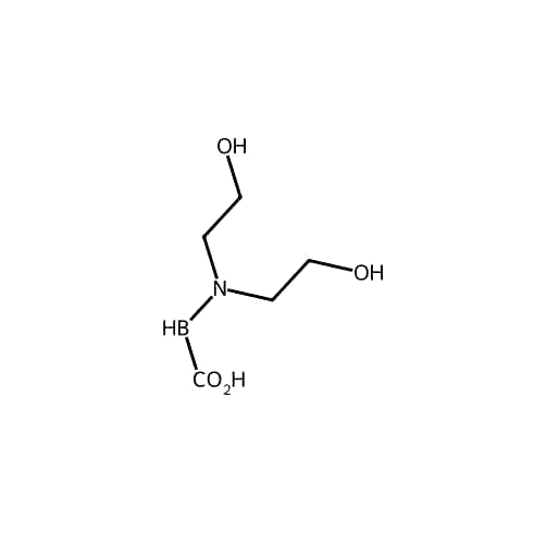 O=C(O)BN(CCO)CCO